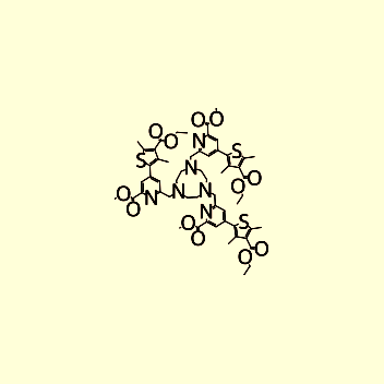 CCOC(=O)c1c(C)sc(-c2cc(CN3CCN(Cc4cc(-c5sc(C)c(C(=O)OCC)c5C)cc(C(=O)OC)n4)CCN(Cc4cc(-c5sc(C)c(C(=O)OCC)c5C)cc(C(=O)OC)n4)CC3)nc(C(=O)OC)c2)c1C